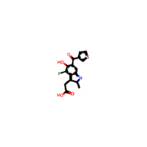 CC1N=c2cc(C(=O)c3ccsc3)c(O)c(F)c2=C1CC(=O)O